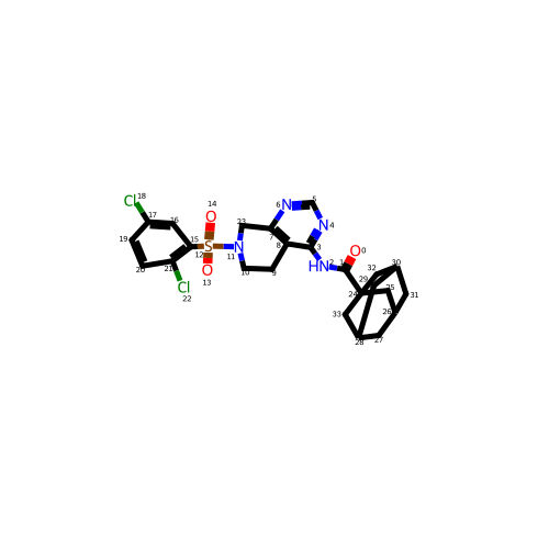 O=C(Nc1ncnc2c1CCN(S(=O)(=O)c1cc(Cl)ccc1Cl)C2)C12CC3CC(CC(C3)C1)C2